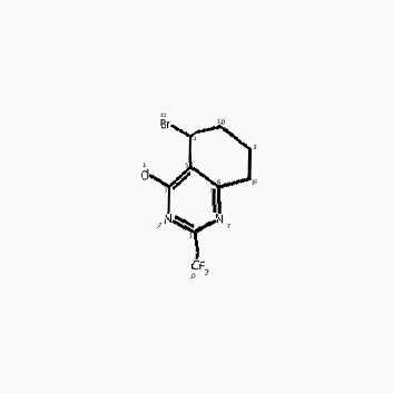 FC(F)(F)c1nc(Cl)c2c(n1)CCCC2Br